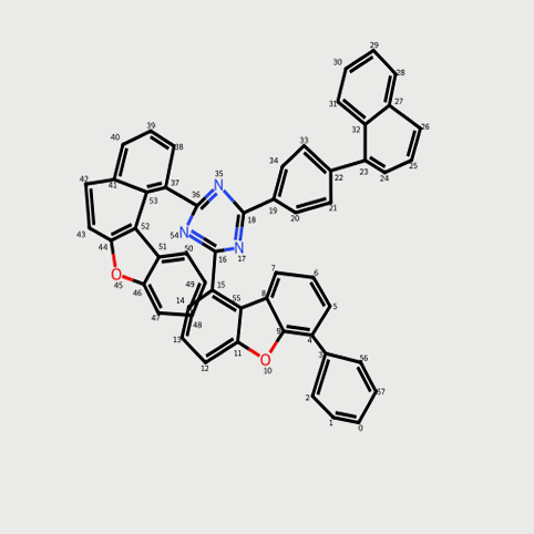 c1ccc(-c2cccc3c2oc2cccc(-c4nc(-c5ccc(-c6cccc7ccccc67)cc5)nc(-c5cccc6ccc7oc8ccccc8c7c56)n4)c23)cc1